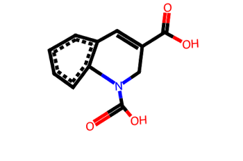 O=C(O)C1=Cc2ccccc2N(C(=O)O)C1